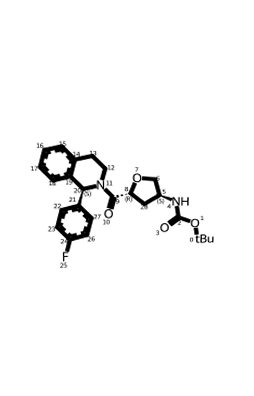 CC(C)(C)OC(=O)N[C@@H]1CO[C@@H](C(=O)N2CCc3ccccc3[C@@H]2c2ccc(F)cc2)C1